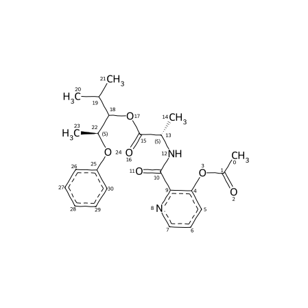 CC(=O)Oc1cccnc1C(=O)N[C@@H](C)C(=O)OC(C(C)C)[C@H](C)Oc1ccccc1